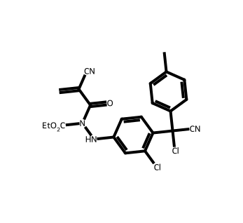 C=C(C#N)C(=O)N(Nc1ccc(C(Cl)(C#N)c2ccc(C)cc2)c(Cl)c1)C(=O)OCC